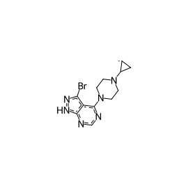 Brc1n[nH]c2ncnc(N3CCN(C4[CH]C4)CC3)c12